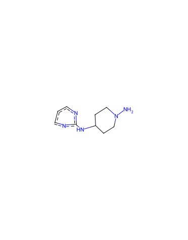 NN1CCC(Nc2ncccn2)CC1